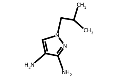 CC(C)Cn1cc(N)c(N)n1